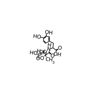 CC(C)(OP(=O)(O)O)C(=O)NC(Cc1ccc(O)c(O)c1)C(=O)O